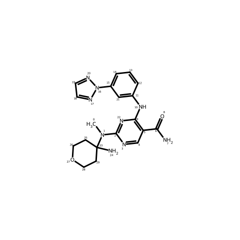 CN(c1ncc(C(N)=O)c(Nc2cccc(-n3nccn3)c2)n1)C1(N)CCOCC1